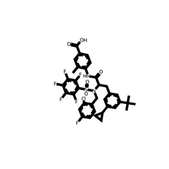 Cc1cc(C(=O)O)ccc1NC(=O)C(Cc1cc(C2CC2)cc(C(C)(C)C)c1)N(Cc1ccc(F)cc1Cl)S(=O)(=O)c1c(F)c(F)c(F)c(F)c1F